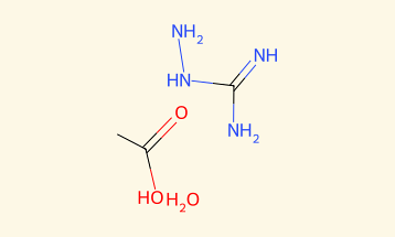 CC(=O)O.N=C(N)NN.O